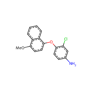 COc1ccc(Oc2ccc(N)cc2Cl)c2ccccc12